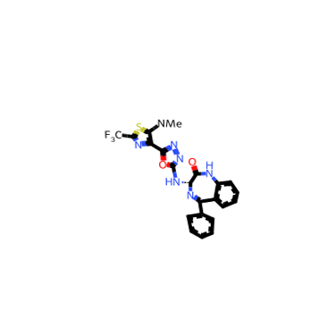 CNc1sc(C(F)(F)F)nc1-c1nnc(N[C@H]2N=C(c3ccccc3)c3ccccc3NC2=O)o1